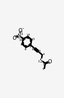 CC(=O)SCC#Cc1ccc([N+](=O)[O-])cc1